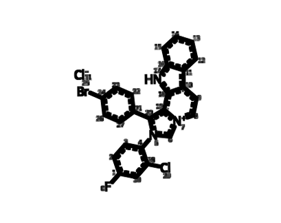 Fc1ccc(-n2c[n+]3ccc4c5ccccc5[nH]c4c3c2-c2ccc(Br)cc2)c(Cl)c1.[Cl-]